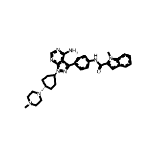 CN1CCN([C@H]2CC[C@H](n3nc(-c4ccc(NC(=O)c5cc6ccccc6n5C)cc4)c4c(N)ncnc43)CC2)CC1